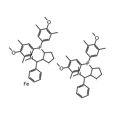 COc1c(C)cc(P([C]2[CH][CH][CH][C]2C(c2ccccc2)N(C)C)c2cc(C)c(OC)c(C)c2)cc1C.COc1c(C)cc(P([C]2[CH][CH][CH][C]2C(c2ccccc2)N(C)C)c2cc(C)c(OC)c(C)c2)cc1C.[Fe]